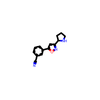 N#Cc1cccc(-c2cc(C3CCCN3)no2)c1